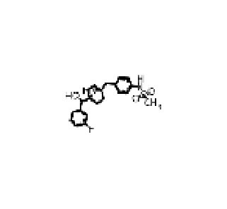 CS(=O)(=O)Nc1ccc(CC23CCC(C(O)c4cccc(F)c4)(CC2)N3)cc1